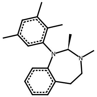 Cc1cc(C)c(C)c(N2c3ccccc3CCN(C)[C@@H]2C)c1